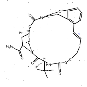 CC(C)(C)[C@@H]1NC(=O)OCCC/C=C/c2cccc3c2CCN(C3)C(=O)O[C@@H]2CC(C(N)=O)N(C2)C1=O